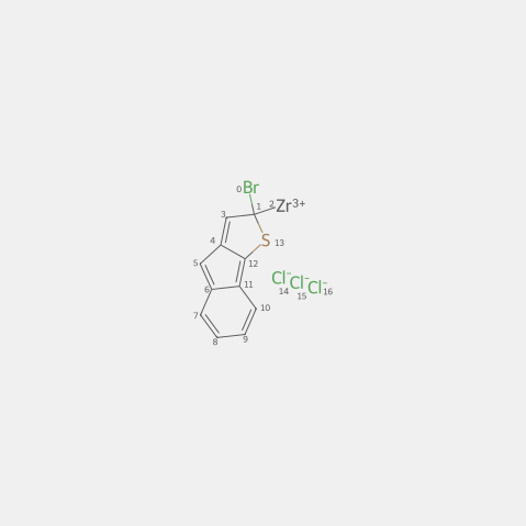 Br[C]1([Zr+3])C=C2C=c3ccccc3=C2S1.[Cl-].[Cl-].[Cl-]